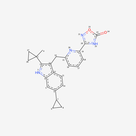 CC1(c2[nH]c3cc(C4CC4)ccc3c2Cc2cccc(-c3noc(=O)[nH]3)n2)CC1